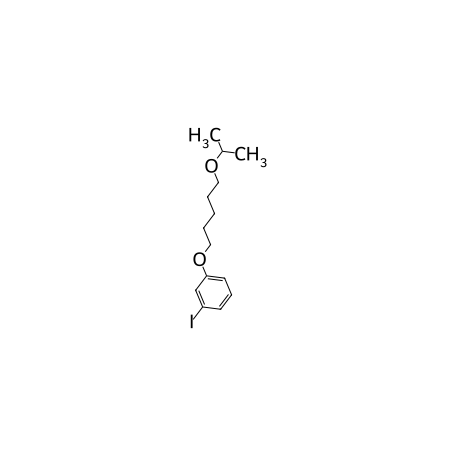 CC(C)OCCCCCOc1cccc(I)c1